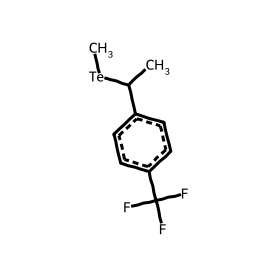 C[Te]C(C)c1ccc(C(F)(F)F)cc1